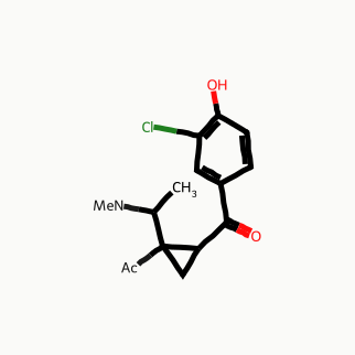 CNC(C)C1(C(C)=O)CC1C(=O)c1ccc(O)c(Cl)c1